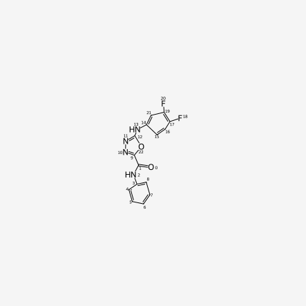 O=C(Nc1[c]cccc1)c1nnc(Nc2ccc(F)c(F)c2)o1